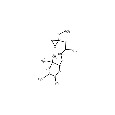 CCC(C)CC(CNC(C)CC1(CC)CC1)C(C)(C)C